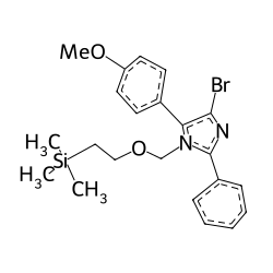 COc1ccc(-c2c(Br)nc(-c3ccccc3)n2COCC[Si](C)(C)C)cc1